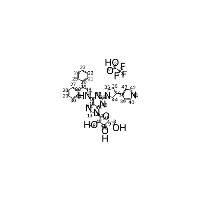 O=C(O)C(F)(F)F.OC[C@H]1O[C@@H](n2cnc3c(NCC(c4ccccc4)c4ccccc4)nc(N4CCC(c5ccncc5)C4)nc32)[C@H](O)[C@@H]1O